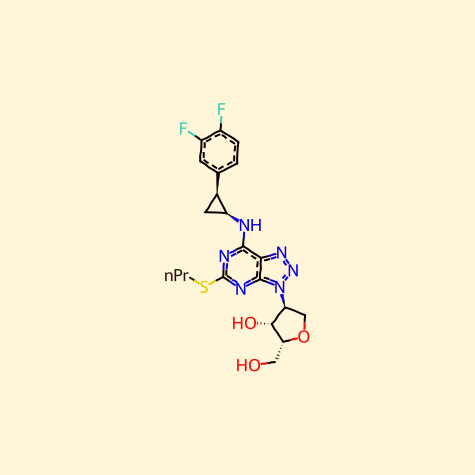 CCCSc1nc(N[C@H]2C[C@H]2c2ccc(F)c(F)c2)c2nnn([C@H]3CO[C@H](CO)[C@@H]3O)c2n1